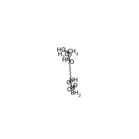 BC1CC(=O)N(CCC(=O)NCCCCCCCCCC(=O)NCCOC(C)(C)CCO)C1=O